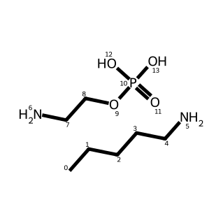 CCCCCN.NCCOP(=O)(O)O